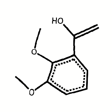 C=C(O)c1cccc(OC)c1OC